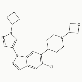 Clc1cc2cnn(-c3cnn(C4CCC4)c3)c2cc1C1CCN(C2COC2)CC1